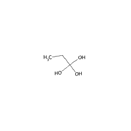 CCC(O)(O)O